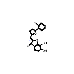 O=C1/C(=C/c2ccc(-c3ccccc3Cl)o2)Oc2c1ccc(O)c2O